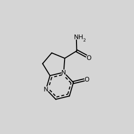 NC(=O)C1CCc2nccc(=O)n21